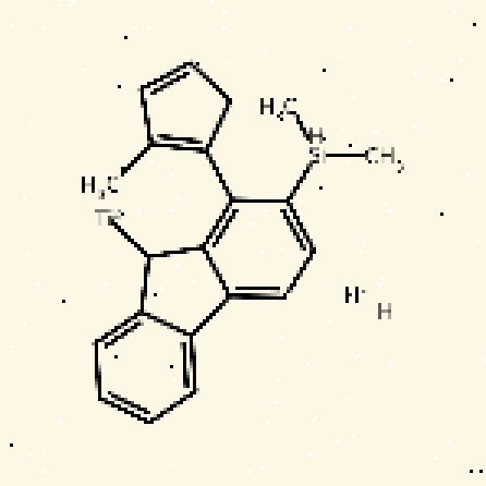 CC1=C(c2c([SiH](C)C)ccc3c2[CH]([Ti+2])c2ccccc2-3)CC=C1.[H-].[H-]